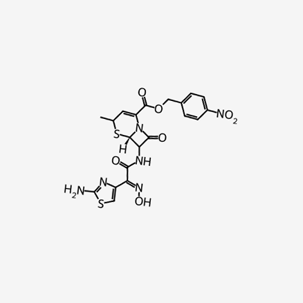 CC1C=C(C(=O)OCc2ccc([N+](=O)[O-])cc2)N2C(=O)C(NC(=O)C(=NO)c3csc(N)n3)[C@@H]2S1